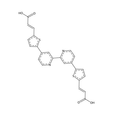 O=C(O)/C=C/c1ccc(-c2ccnc(-c3cc(-c4ccc(/C=C/C(=O)O)s4)ccn3)c2)s1